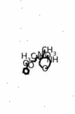 CCc1nn(C(C)CCOC(=O)c2ccccc2)c2c1C(=O)NCCCOCCC2